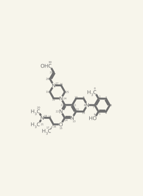 Cc1cccc(O)c1N1CCc2c(nc(O[C@H](C)CN(C)C)nc2N2CCN(C=CC=O)CC2)C1